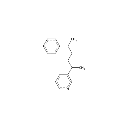 CC(CCC(C)c1cccnc1)c1ccccc1